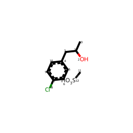 CC(O)Cc1ccc(Cl)cc1.CS(=O)(=O)O